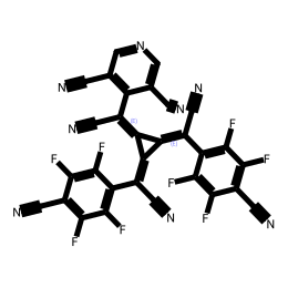 N#CC(=C1C(=C(\C#N)c2c(C#N)cncc2C#N)/C1=C(\C#N)c1c(F)c(F)c(C#N)c(F)c1F)c1c(F)c(F)c(C#N)c(F)c1F